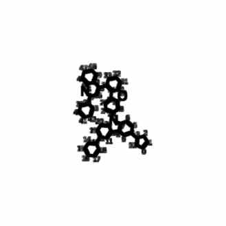 C1=CCC(c2ccc3c(c2)c2cc(-c4ccccc4)ccc2n3-c2ccc3c(c2)oc2cccc(-c4cc(-c5ccccc5)nc5ccccc45)c23)=C1